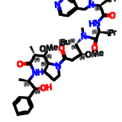 CC[C@H](C)[C@@H]([C@@H](CC(=O)N1CCC[C@H]1[C@H](OC)[C@@H](C)C(=O)N[C@H](C)[C@@H](O)c1ccccc1)OC)N(C)C(=O)[C@@H](NC(=O)[C@H](C(C)C)N(C)Cc1ccncc1)C(C)C